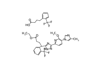 CCOC(=O)CCC(c1nc(-c2ccc(-n3cnc(C)c3)c(OC)n2)n[nH]1)c1ccccc1C(F)(F)F.O=C(O)CCCc1ccccc1C(F)(F)F